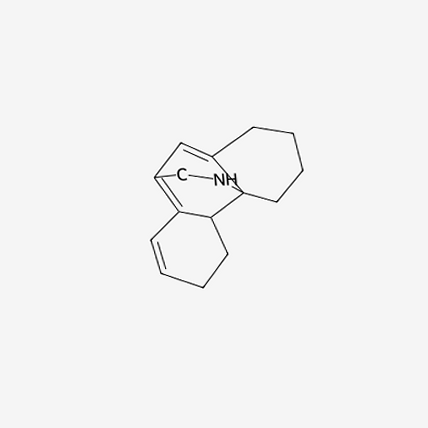 C1=CC2=C3C=C4CCCCC4(NC3)C2CC1